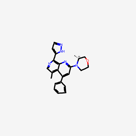 Cc1cnc(-c2ccn[nH]2)c2nc(N3CCOC[C@H]3C)cc(-c3cc[c]cc3)c12